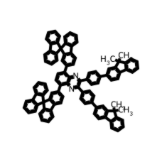 CC1(C)c2ccccc2-c2ccc(-c3ccc(-c4nc5c(-c6ccc7c(c6)C6(c8ccccc8-c8ccccc86)c6ccccc6-7)ccc(-c6ccc7c(c6)C6(c8ccccc8-c8ccccc86)c6ccccc6-7)c5nc4-c4ccc(-c5ccc6c(c5)C(C)(C)c5ccccc5-6)cc4)cc3)cc21